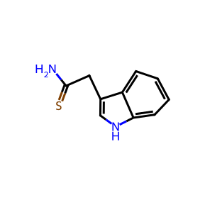 NC(=S)Cc1c[nH]c2ccccc12